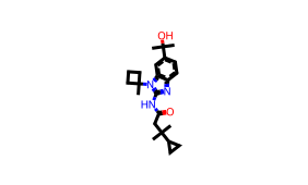 CC(C)(O)c1ccc2nc(NC(=O)CC(C)(C)C3CC3)n(C3(C)CCC3)c2c1